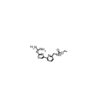 CCOC(=O)NCc1cccc(-c2csc(N=C(N)N)n2)n1